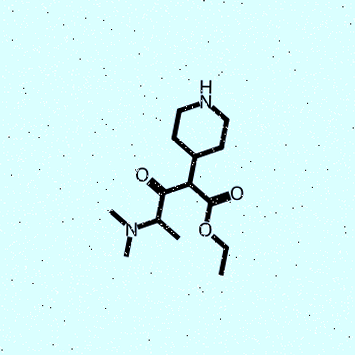 CCOC(=O)C(C(=O)C(C)N(C)C)C1CCNCC1